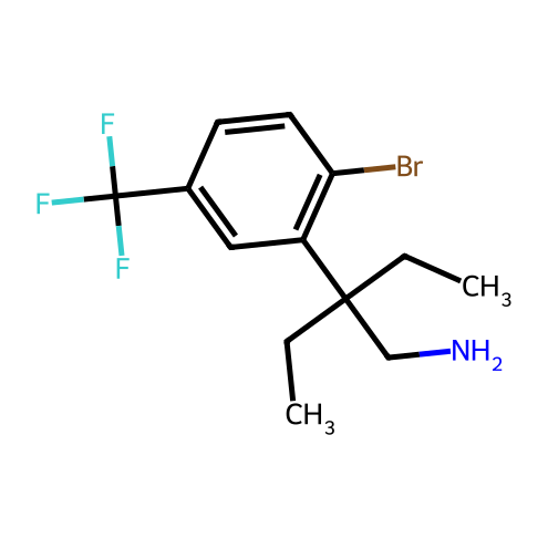 CCC(CC)(CN)c1cc(C(F)(F)F)ccc1Br